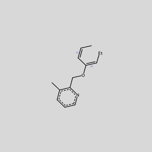 C/C=C\C(=C/CC)OCc1ncccc1C